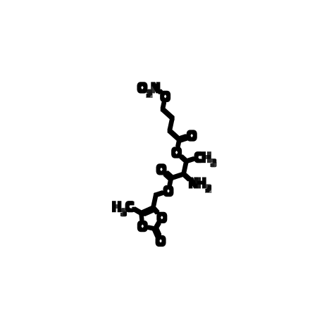 Cc1oc(=O)oc1COC(=O)C(N)C(C)OC(=O)CCCO[N+](=O)[O-]